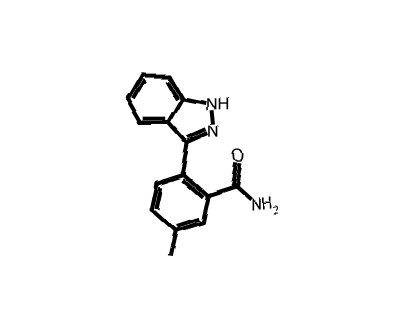 Cc1ccc(-c2n[nH]c3ccccc23)c(C(N)=O)c1